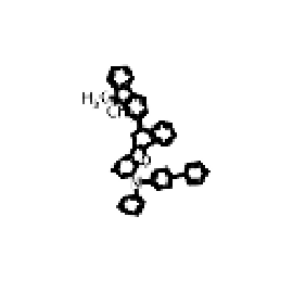 CC1(C)c2ccccc2-c2ccc(-c3cc4c5cccc(N(c6ccccc6)c6ccc(-c7ccccc7)cc6)c5oc4c4ccccc34)cc21